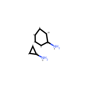 NC1CC1.NC1CCCCC1